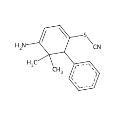 CC1(C)C(N)=CC=C(SC#N)C1c1ccccc1